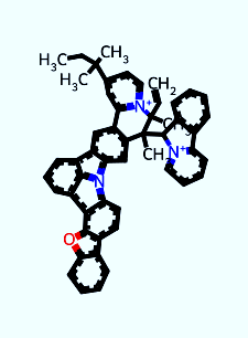 C=CC1(C)[n+]2ccc(C(C)(C)CC)cc2-c2cc3c4cccc5c6c7oc8ccccc8c7ccc6n(c3cc2C1(C)C1c2ccccc2-c2cccc[n+]21)c45